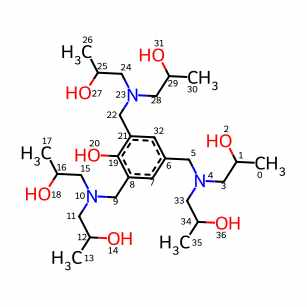 CC(O)CN(Cc1cc(CN(CC(C)O)CC(C)O)c(O)c(CN(CC(C)O)CC(C)O)c1)CC(C)O